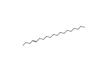 CCCC=CCCCCCCCCCCCCCC